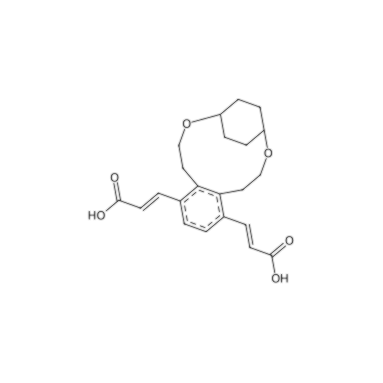 O=C(O)C=Cc1ccc(C=CC(=O)O)c2c1CCOC1CCC(CC1)OCC2